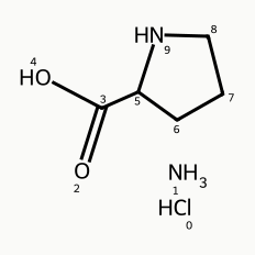 Cl.N.O=C(O)C1CCCN1